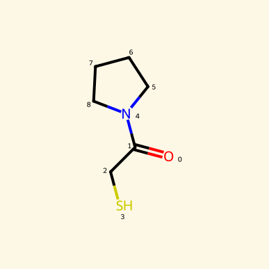 O=C(CS)N1CCCC1